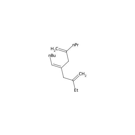 C=C(CC)CC(=CCCCC)CC(=C)CCC